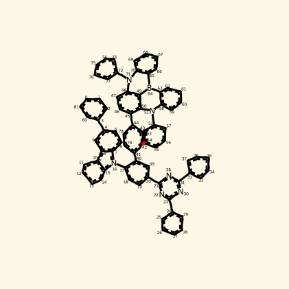 c1ccc(-c2ccc3c(c2)c2ccccc2n3-c2ccc(-c3nc(-c4ccccc4)nc(-c4ccccc4)n3)cc2-c2ccc(-c3ccc4c5c3N(c3ccccc3)c3ccccc3B5c3ccccc3N4c3ccccc3)cc2)cc1